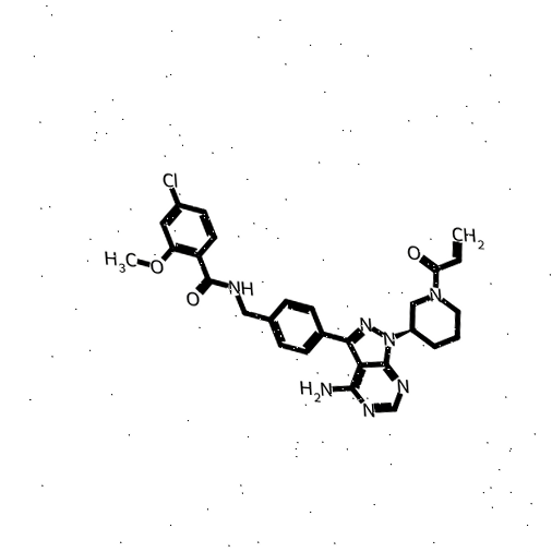 C=CC(=O)N1CCC[C@@H](n2nc(-c3ccc(CNC(=O)c4ccc(Cl)cc4OC)cc3)c3c(N)ncnc32)C1